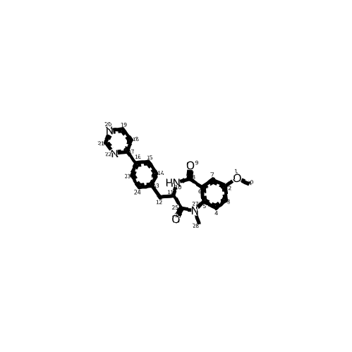 COc1ccc2c(c1)C(=O)NC(Cc1ccc(-c3ccncn3)cc1)C(=O)N2C